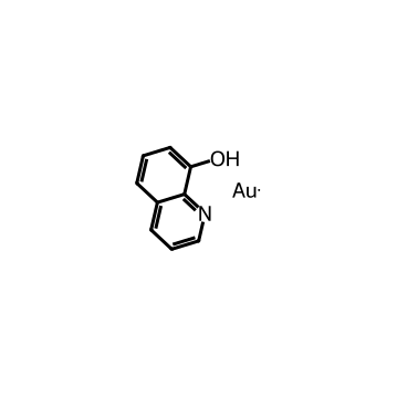 Oc1cccc2cccnc12.[Au]